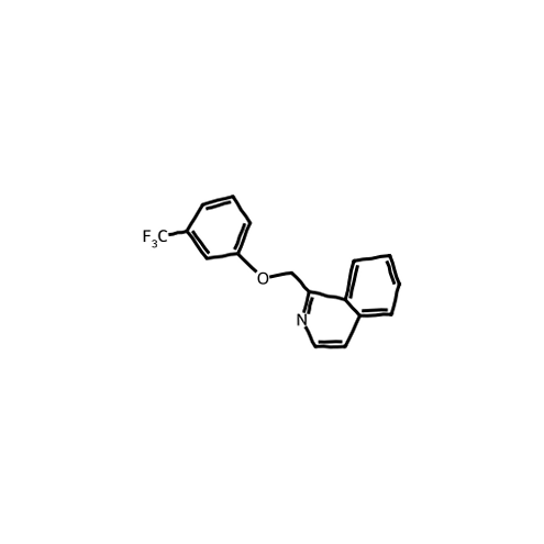 FC(F)(F)c1cccc(OCc2nccc3ccccc23)c1